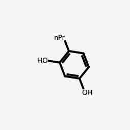 CCCc1ccc(O)cc1O